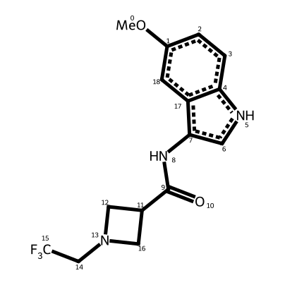 COc1ccc2[nH]cc(NC(=O)C3CN(CC(F)(F)F)C3)c2c1